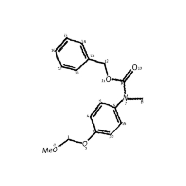 COCOc1ccc(N(C)C(=O)OCc2ccccc2)cc1